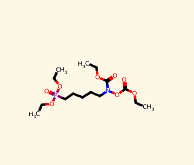 CCOC(=O)ON(CCCCCP(=O)(OCC)OCC)C(=O)OCC